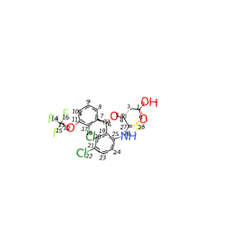 O=C(O)C[C@H]1O[C@H](c2cccc(OC(F)(F)F)c2Cl)c2cc(Cl)ccc2NC1=S